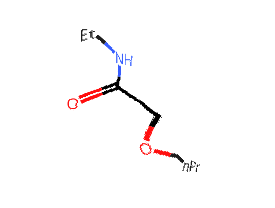 CCCOCC(=O)NCC